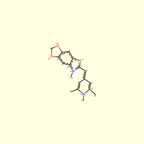 CC1=CC(=Cc2sc3cc4c(cc3[n+]2C)OCO4)C=C(C)N1C